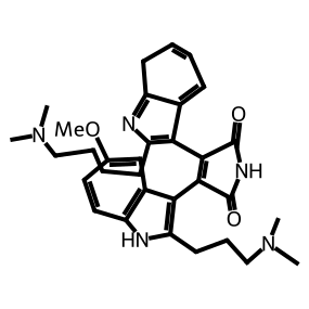 COc1ccc2[nH]c(CCCN(C)C)c(C3=C(C4=C(CCCCN(C)C)N=C5CC=CC=C54)C(=O)NC3=O)c2c1